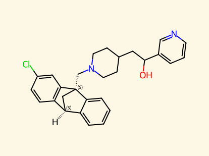 OC(CC1CCN(C[C@@]23C[C@@H](c4ccccc42)c2ccc(Cl)cc23)CC1)c1cccnc1